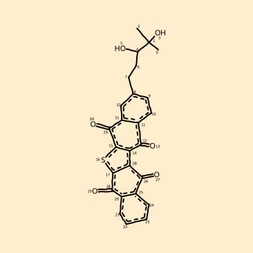 CC(C)(O)C(O)CCc1ccc2c(=O)c3c(sc4c(=O)c5ccccc5c(=O)c43)c(=O)c2c1